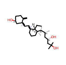 C=C1CC[C@H](O)C/C1=C/C=C1\CCC[C@]2(C)[C@@H]([C@H](C)C[C@H](O)CC(C)(C)O)CC[C@@H]12